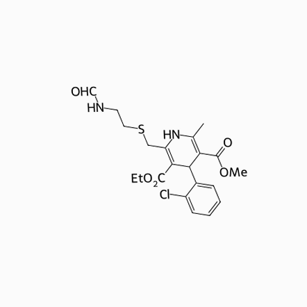 CCOC(=O)C1=C(CSCCNC=O)NC(C)=C(C(=O)OC)C1c1ccccc1Cl